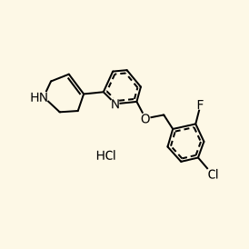 Cl.Fc1cc(Cl)ccc1COc1cccc(C2=CCNCC2)n1